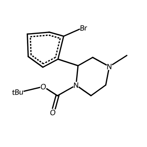 CN1CCN(C(=O)OC(C)(C)C)C(c2ccccc2Br)C1